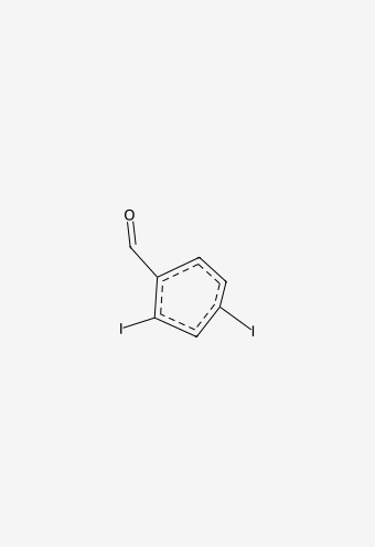 O=Cc1ccc(I)cc1I